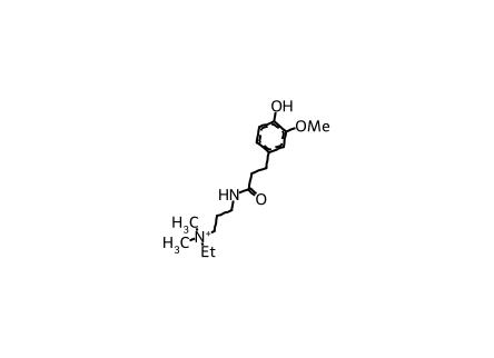 CC[N+](C)(C)CCCNC(=O)CCc1ccc(O)c(OC)c1